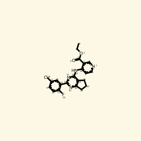 CCOC(=O)c1cnccc1Nc1nc(-c2cc(Cl)ccc2F)nc2c1CCC2